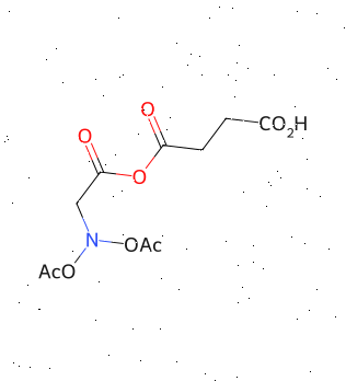 CC(=O)ON(CC(=O)OC(=O)CCC(=O)O)OC(C)=O